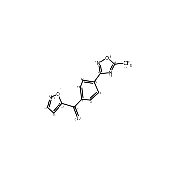 O=C(c1ccc(-c2noc(C(F)(F)F)n2)cc1)c1ccno1